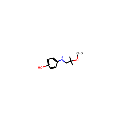 CC(C)(CNc1ccc(O)cc1)OC=O